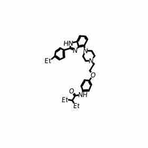 CCc1ccc(-c2nc3c(N4CCN(CCOc5ccc(NC(=O)C(CC)CC)cc5)CC4)cccc3[nH]2)cc1